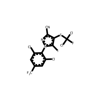 N#Cc1nn(-c2c(Cl)cc(C(F)(F)F)cc2Cl)c(I)c1SC(F)(Cl)Cl